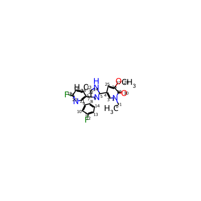 CCn1cc(C2=N[C@@](c3ccc(F)cc3)(c3ccc(F)nc3)[C@H](C)N2)cc(OC)c1=O